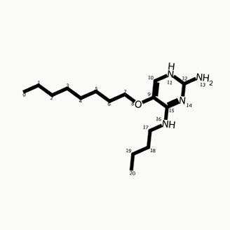 CCCCCCCCOC1=CNC(N)N=C1NCCCC